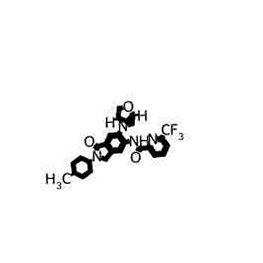 C[C@H]1CC[C@H](N2Cc3cc(NC(=O)c4cccc(C(F)(F)F)n4)c(N4C[C@@H]5C[C@H]4CO5)cc3C2=O)CC1